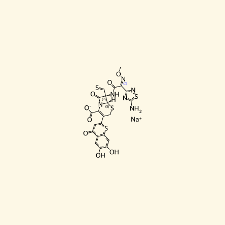 CO/N=C(\C(=O)N[C@]1(C=S)C(=O)N2C(C(=O)[O-])=C(c3cc(=O)c4cc(O)c(O)cc4s3)CS[C@H]21)c1nsc(N)n1.[Na+]